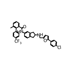 Cc1cccc(C(=O)Nc2ccc3c(c2)CC(NCc2ccc(-c4ccc(Cl)cc4)o2)C3)c1-c1ccc(C(F)(F)F)cc1